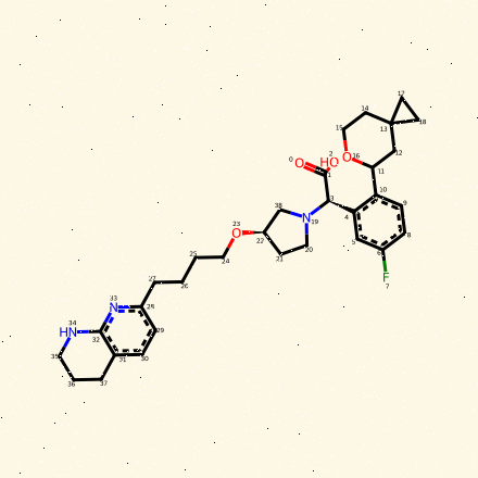 O=C(O)[C@@H](c1cc(F)ccc1C1CC2(CCO1)CC2)N1CC[C@@H](OCCCCc2ccc3c(n2)NCCC3)C1